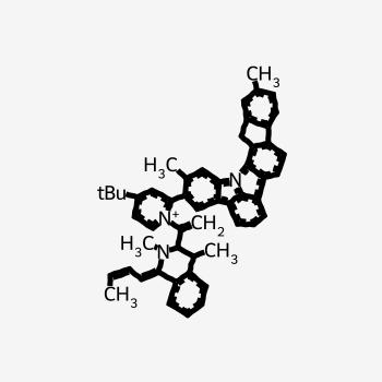 C=C(C1C(C)c2ccccc2/C(=C/C=C\C)N1C)[n+]1ccc(C(C)(C)C)cc1-c1cc2c3cccc4c5ccc6c(c5n(c2cc1C)c34)Cc1cc(C)ccc1-6